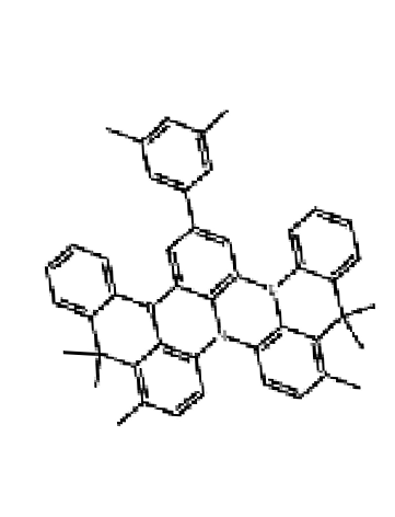 Cc1cc(C)cc(-c2cc3c4c(c2)B2c5ccccc5C(C)(C)c5c(C)ccc(c52)N4c2ccc(C)c4c2B3c2ccccc2C4(C)C)c1